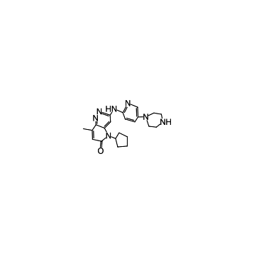 Cc1cc(=O)n(C2CCCC2)c2cc(Nc3ccc(N4CCNCC4)cn3)nnc12